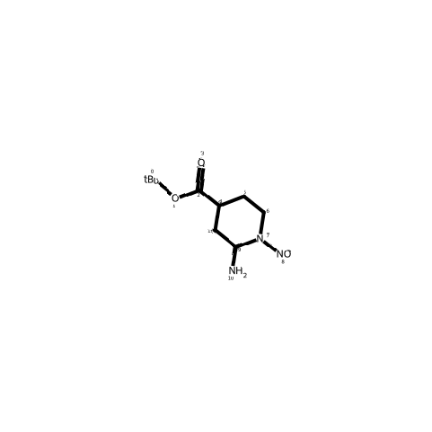 CC(C)(C)OC(=O)C1CCN(N=O)C(N)C1